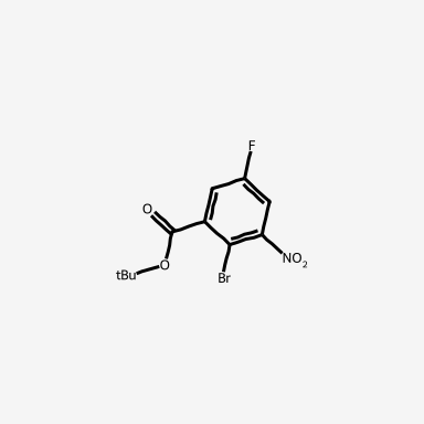 CC(C)(C)OC(=O)c1cc(F)cc([N+](=O)[O-])c1Br